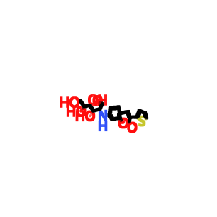 O=C[C@@H](Nc1ccc2cc(-c3cccs3)c(=O)oc2c1)[C@H](O)[C@@H](O)[C@@H](O)CO